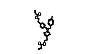 C=CC(=O)OCCc1ccc(N(Cc2ccc(C)cc2)c2ccc(CCOC(=O)C=C)cc2)cc1